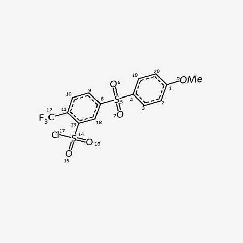 COc1ccc(S(=O)(=O)c2ccc(C(F)(F)F)c(S(=O)(=O)Cl)c2)cc1